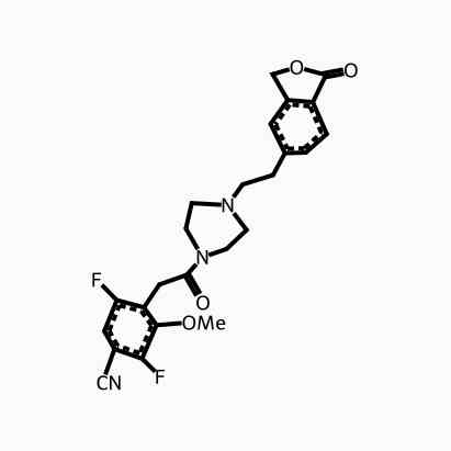 COc1c(F)c(C#N)cc(F)c1CC(=O)N1CCN(CCc2ccc3c(c2)COC3=O)CC1